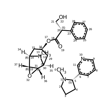 CN1CCC[C@H]1c1cccnc1.CN1[C@@H]2C[C@@H](OC(=O)[C@H](CO)c3ccccc3)C[C@H]1[C@@H]1O[C@@H]12